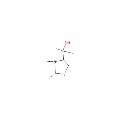 C[C@H]1SCC(C(C)(C)O)N1C